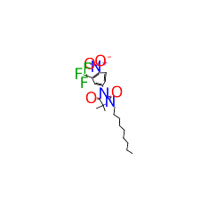 CCCCCCCCCN1C(=O)N(c2ccc([N+](=O)[O-])c(C(F)(F)F)c2)C(=O)C1(C)C